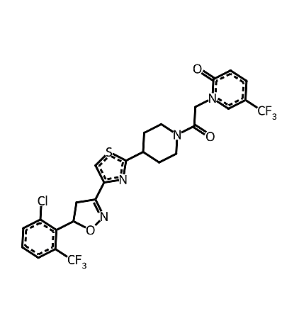 O=C(Cn1cc(C(F)(F)F)ccc1=O)N1CCC(c2nc(C3=NOC(c4c(Cl)cccc4C(F)(F)F)C3)cs2)CC1